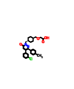 Cc1ccc(-c2nn(C[C@H]3CC[C@H](COCC(=O)O)CC3)c(=O)cc2-c2cccc(Cl)c2)cc1